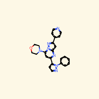 c1ccc(-n2nccc2-c2cc(N3CCOCC3)n3nc(-c4ccncc4)cc3n2)cc1